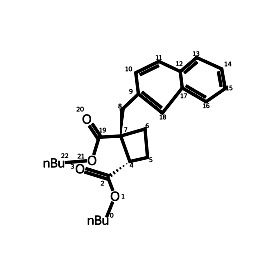 CCCCOC(=O)[C@H]1CC[C@@]1(Cc1ccc2ccccc2c1)C(=O)OCCCC